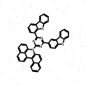 c1ccc2c3c(ccc2c1)N(c1nc(-c2ccc4sc5ccccc5c4c2)nc(-c2cccc4c2sc2ccccc24)n1)c1cccc2cccc-3c12